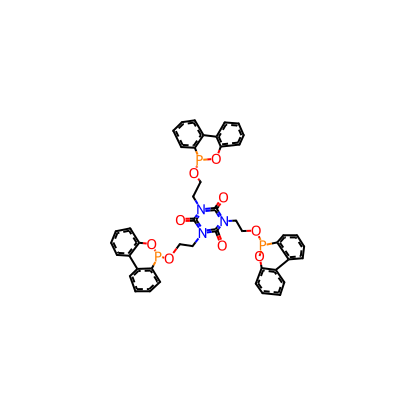 O=c1n(CCOP2Oc3ccccc3-c3ccccc32)c(=O)n(CCOP2Oc3ccccc3-c3ccccc32)c(=O)n1CCOP1Oc2ccccc2-c2ccccc21